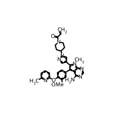 C=CC(=O)N1CCC(n2cc(-c3c(-c4ccc(Oc5cccc(C)n5)c(OC)c4)c4c(N)ncnc4n3C)cn2)CC1